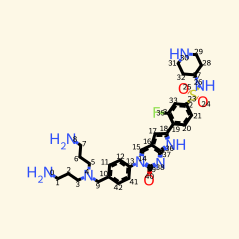 NCCCN(CCCN)Cc1ccc(-n2cc3cc(-c4ccc(S(=O)(=O)NC5CCNCC5)cc4F)[nH]c3nc2=O)cc1